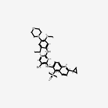 CCc1cc(N2CCOCC2)c(OC)cc1Nc1ncc(Br)c(Nc2ccc3nc(C4CC4)ccc3c2P(C)(C)=O)n1